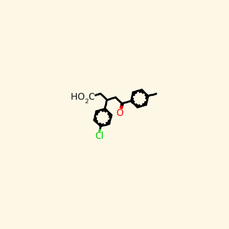 Cc1ccc(C(=O)CC(CC(=O)O)c2ccc(Cl)cc2)cc1